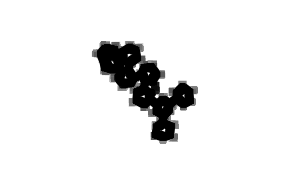 c1ccc(-c2cc(-c3ccccc3)cc(-c3cccc4c3sc3cccc(-c5cccc6c5-c5ccccc5C65C6CC7CC(C6)CC5C7)c34)c2)cc1